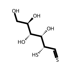 OC[C@@H](O)[C@@H](O)[C@H](O)[C@@H](S)C=S